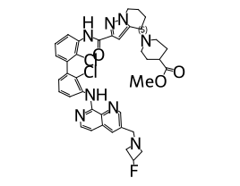 COC(=O)C1CCN([C@H]2CCCn3nc(C(=O)Nc4cccc(-c5cccc(Nc6nccc7cc(CN8CC(F)C8)cnc67)c5Cl)c4Cl)cc32)CC1